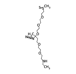 CCNCCOCCOCCC(C)(N=[N+]=[N-])OCCOCCOCCS(C)=S